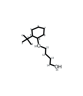 CC(C)(C)C1CCCCC1OCCCCO